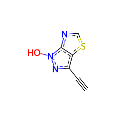 C#Cc1nn(O)c2ncsc12